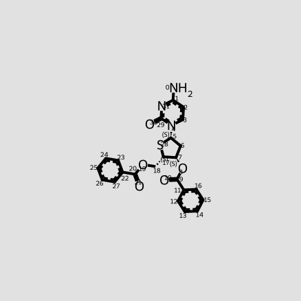 Nc1ccn([C@@H]2C[C@H](OC(=O)c3ccccc3)[C@H](COC(=O)c3ccccc3)S2)c(=O)n1